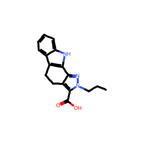 CCCn1nc2c(c1C(=O)O)CCc1c-2[nH]c2ccccc12